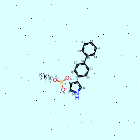 [K+].[K+].[K+].[O-]P([O-])[O-].c1cc[nH]c1.c1ccc(-c2ccccc2)cc1